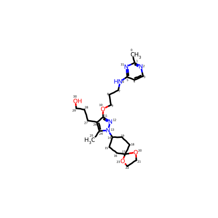 Cc1nccc(NCCCOc2nn(C3CCC4(CC3)OCCO4)c(C)c2CCCO)n1